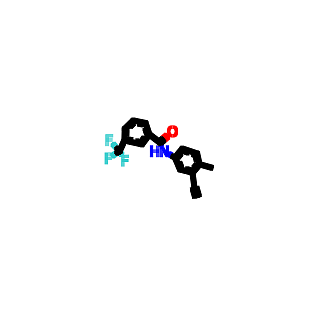 C#Cc1cc(NC(=O)c2cccc(C(F)(F)F)c2)ccc1C